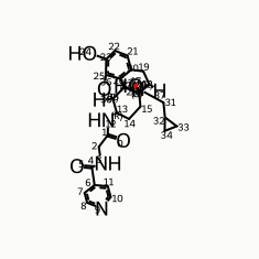 O=C(CNC(=O)c1ccncc1)N[C@@H]1CC[C@@]2(O)[C@H]3Cc4ccc(O)c5c4[C@@]2(CCN3CC2CC2)[C@H]1O5